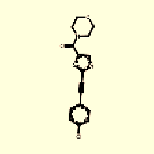 O=C(c1cnc(C#Cc2ccc(Cl)cc2)s1)N1CCOCC1